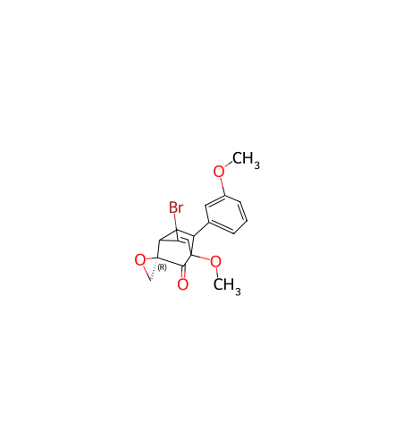 COc1cccc(C2CC3C(Br)=CC2(OC)C(=O)[C@]32CO2)c1